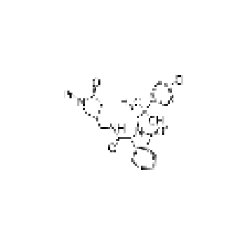 CC(C)N1CC(CNC(=O)C2c3ccccc3C(=O)N2CC(C)(C)c2ccc(Cl)cc2)CC1=O